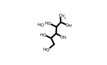 CC(O)C(O)C(O)C(O)CO.Cl